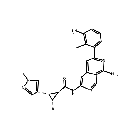 Cc1c(N)cccc1-c1cc2cc(NC(=O)[C@H]3[C@H](C)[C@@H]3c3cnn(C)c3)ncc2c(N)n1